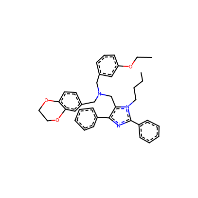 CCCCn1c(-c2ccccc2)nc(-c2ccccc2)c1CN(Cc1cccc(OCC)c1)Cc1ccc2c(c1)OCCO2